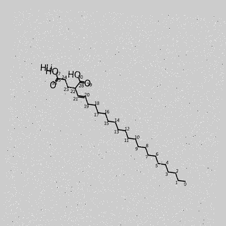 CCCCCCCCCCCCCCCCCCCCC=CC(CCC(=O)O)C(=O)O.[LiH]